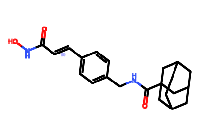 O=C(/C=C/c1ccc(CNC(=O)C23CC4CC(CC(C4)C2)C3)cc1)NO